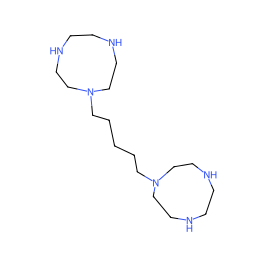 C(CCN1CCNCCNCC1)CCN1CCNCCNCC1